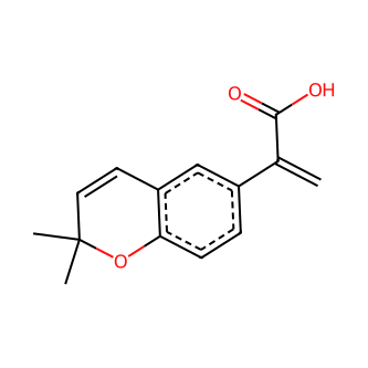 C=C(C(=O)O)c1ccc2c(c1)C=CC(C)(C)O2